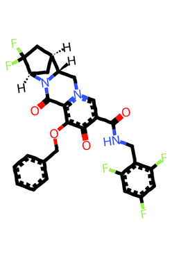 O=C(NCc1c(F)cc(F)cc1F)c1cn2c(c(OCc3ccccc3)c1=O)C(=O)N1[C@@H](C2)[C@H]2C[C@@H]1C(F)(F)C2